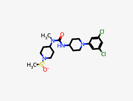 CN(C(=O)NC1CCN(c2cc(Cl)cc(Cl)c2)CC1)C1CCN([S+](C)[O-])CC1